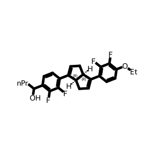 CCCC(O)c1ccc(C2=CC[C@H]3C(c4ccc(OCC)c(F)c4F)=CC[C@@H]23)c(F)c1F